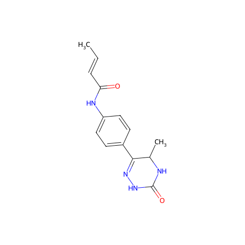 C/C=C/C(=O)Nc1ccc(C2=NNC(=O)NC2C)cc1